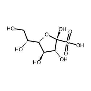 O=S(=O)(O)[C@@]1(O)O[C@@H]([C@H](O)CO)[C@H](O)[C@H]1O